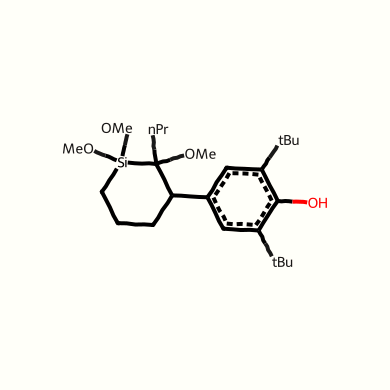 CCCC1(OC)C(c2cc(C(C)(C)C)c(O)c(C(C)(C)C)c2)CCC[Si]1(OC)OC